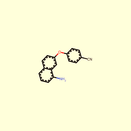 N#Cc1ccc(Oc2ccc3cccc(N)c3c2)cc1